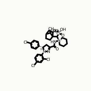 CC1(C)C2CCC1(C([N+]1(NC(=O)C3=NN(c4ccc(Cl)cc4Cl)[C@H](c4ccc(Cl)cc4)C3)CCCCC1)S(=O)(=O)O)C(=O)C2